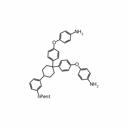 CCCCCc1cccc(C2CCC(c3ccc(Oc4ccc(N)cc4)cc3)(c3ccc(Oc4ccc(N)cc4)cc3)CC2)c1